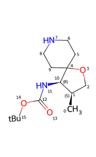 C[C@@H]1COC2(CCNCC2)[C@@H]1NC(=O)OC(C)(C)C